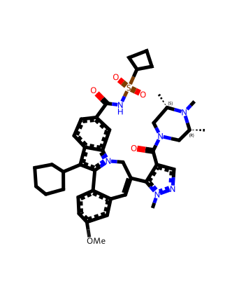 COc1ccc2c(c1)C=C(c1c(C(=O)N3C[C@@H](C)N(C)[C@@H](C)C3)cnn1C)Cn1c-2c(C2CCCCC2)c2ccc(C(=O)NS(=O)(=O)C3CCC3)cc21